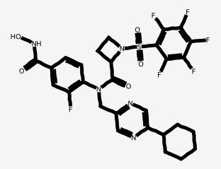 O=C(NO)c1ccc(N(Cc2cnc(C3CCCCC3)cn2)C(=O)C2CCN2S(=O)(=O)c2c(F)c(F)c(F)c(F)c2F)c(F)c1